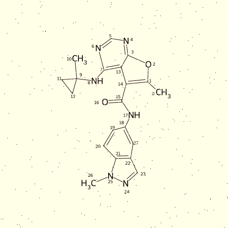 Cc1oc2ncnc(NC3(C)CC3)c2c1C(=O)Nc1ccc2c(cnn2C)c1